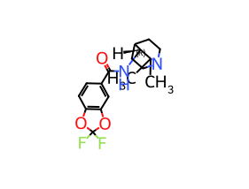 CC1(C)[C@H](NC(=O)c2ccc3c(c2)OC(F)(F)O3)C2CCN1CC2